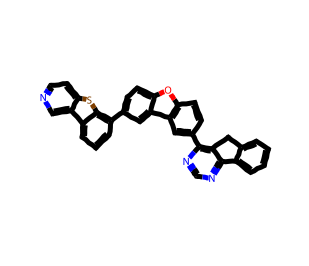 c1ccc2c(c1)Cc1c(-c3ccc4oc5ccc(-c6cccc7c6sc6ccncc67)cc5c4c3)ncnc1-2